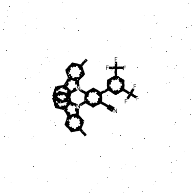 Cc1ccc2c3ccccc3n(-c3cc(C#N)c(-c4cc(C(F)(F)F)cc(C(F)(F)F)c4)cc3-n3c4ccccc4c4ccc(C)cc43)c2c1